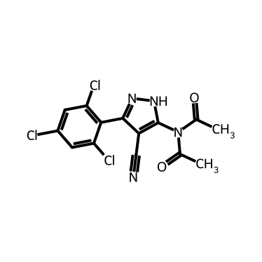 CC(=O)N(C(C)=O)c1[nH]nc(-c2c(Cl)cc(Cl)cc2Cl)c1C#N